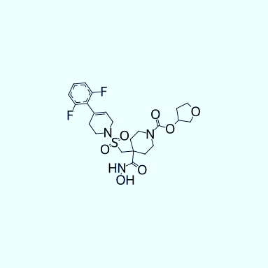 O=C(OC1CCOC1)N1CCC(CS(=O)(=O)N2CC=C(c3c(F)cccc3F)CC2)(C(=O)NO)CC1